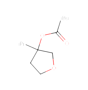 CCC(C)C(=O)OC1(C(C)C)CCOC1